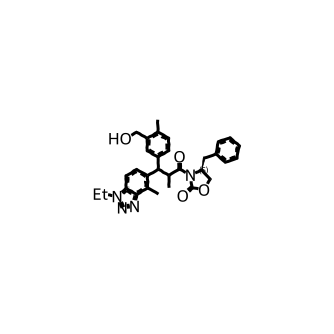 CCn1nnc2c(C)c(C(c3ccc(C)c(CO)c3)C(C)C(=O)N3C(=O)OC[C@@H]3Cc3ccccc3)ccc21